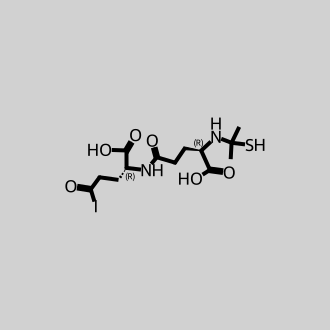 CC(C)(S)N[C@H](CCC(=O)N[C@H](CCC(=O)I)C(=O)O)C(=O)O